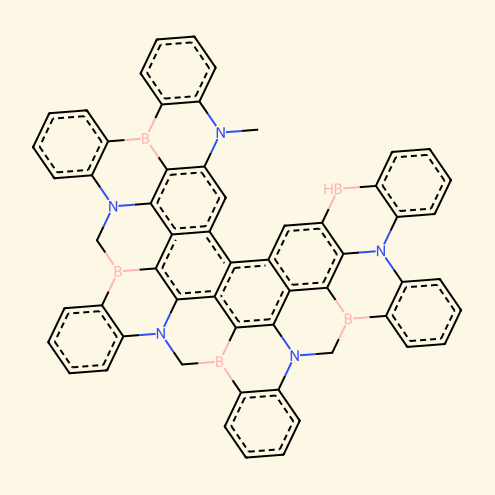 CN1c2ccccc2B2c3ccccc3N3CB4c5ccccc5N5CB6c7ccccc7N7CB8c9ccccc9N9c%10ccccc%10Bc%10cc%11c(c8c%109)c7c6c6c5c4c4c3c2c1cc4c6%11